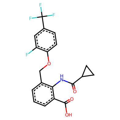 O=C(O)c1cccc(COc2ccc(C(F)(F)F)cc2F)c1NC(=O)C1CC1